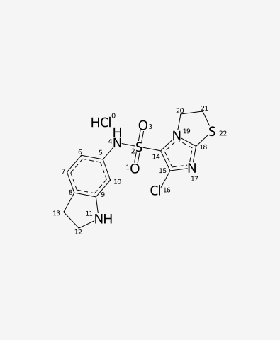 Cl.O=S(=O)(Nc1ccc2c(c1)NCC2)c1c(Cl)nc2n1CCS2